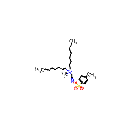 CCCCCCCC[N+](C)(CC#N)CCCCCCCC.Cc1ccc(S(=O)(=O)[O-])cc1